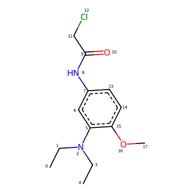 CCN(CC)c1cc(NC(=O)CCl)ccc1OC